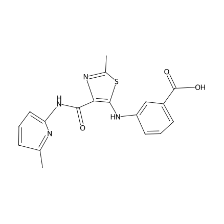 Cc1cccc(NC(=O)c2nc(C)sc2Nc2cccc(C(=O)O)c2)n1